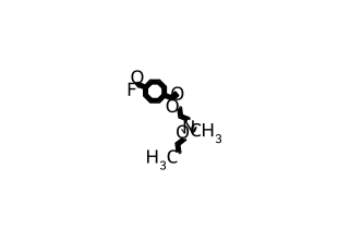 CCCCON(C)CCCOC(=O)C1CCCC(C(=O)F)CCC1